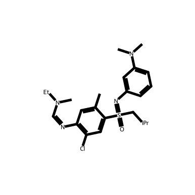 CCN(C)/C=N\c1cc(C)c(S(=O)(CC(C)C)=Nc2cccc(N(C)C)c2)cc1Cl